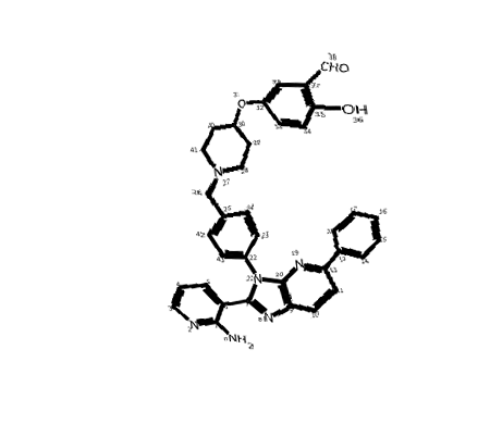 Nc1ncccc1-c1nc2ccc(-c3ccccc3)nc2n1-c1ccc(CN2CCC(Oc3ccc(O)c(C=O)c3)CC2)cc1